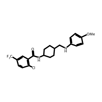 COc1ccc(NCC2CCC(NC(=O)c3cc(C(F)(F)F)ccc3Cl)CC2)cc1